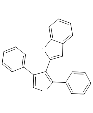 [c]1sc(-c2ccccc2)c(-c2cc3ccccc3s2)c1-c1ccccc1